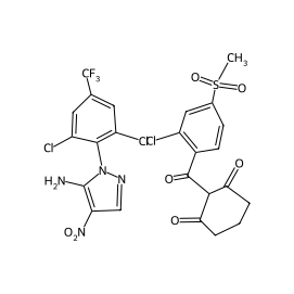 CS(=O)(=O)c1ccc(C(=O)C2C(=O)CCCC2=O)c(Cl)c1.Nc1c([N+](=O)[O-])cnn1-c1c(Cl)cc(C(F)(F)F)cc1Cl